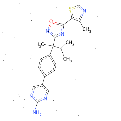 Cc1ncsc1-c1nc(C(C)(c2ccc(-c3cnc(N)nc3)cc2)C(C)C)no1